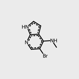 CNc1c(Br)cnc2[nH]ccc12